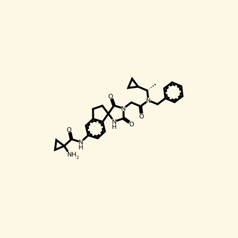 C[C@@H](C1CC1)N(Cc1ccccc1)C(=O)CN1C(=O)NC2(CCc3cc(NC(=O)C4(N)CC4)ccc32)C1=O